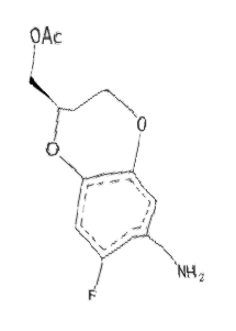 CC(=O)OC[C@H]1COc2cc(N)c(F)cc2O1